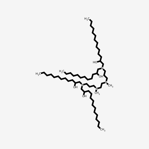 CCCCCCCCCCCCC(O)CN(CCCN(C)CCN(C)CCCN(CC(O)CCCCCCCCCC)CC(O)CCCCCCCCCCCC)CC(O)CCCCCCCCCC